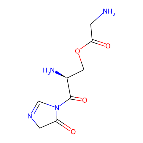 NCC(=O)OC[C@H](N)C(=O)N1C=NCC1=O